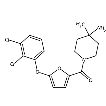 CC1(N)CCN(C(=O)c2ccc(Oc3cccc(Cl)c3Cl)o2)CC1